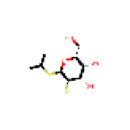 CC(C)SC1O[C@H](CO)[C@H](O)[C@H](O)[C@H]1S